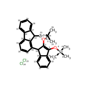 CCOC1=C(O[Si](C)(C)C)c2ccccc2C1c1cccc2c1[CH]([Zr+2]=[C](C)C)c1ccccc1-2.[Cl-].[Cl-]